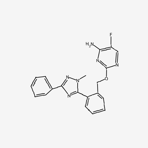 Cn1nc(-c2ccccc2)nc1-c1ccccc1COc1ncc(F)c(N)n1